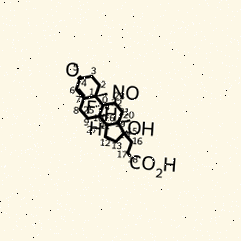 C[C@]12CCC(=O)C=C1CC[C@H]1[C@@H]3CC[C@@](O)(CCC(=O)O)[C@@]3(C)C[C@H](N=O)[C@@]12F